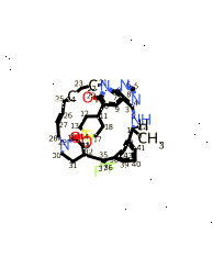 C[C@H]1Nc2ncnc3c2cc(C2CCS(=O)(=O)CC2)c(=O)n3CCCC/C=C/CN2CCC(CC2)C(F)(F)c2cccc1c2